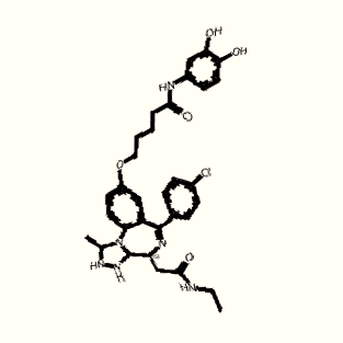 CCNC(=O)C[C@@H]1N=C(c2ccc(Cl)cc2)c2cc(OCCCCC(=O)Nc3ccc(O)c(O)c3)ccc2N2C(C)NNC12